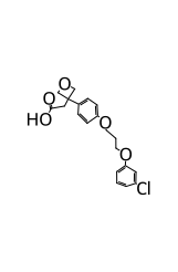 O=C(O)CC1(c2ccc(OCCCOc3cccc(Cl)c3)cc2)COC1